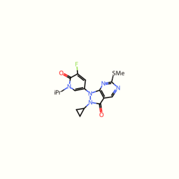 CSc1ncc2c(=O)n(C3CC3)n(-c3cc(F)c(=O)n(C(C)C)c3)c2n1